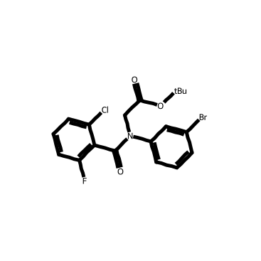 CC(C)(C)OC(=O)CN(C(=O)c1c(F)cccc1Cl)c1cccc(Br)c1